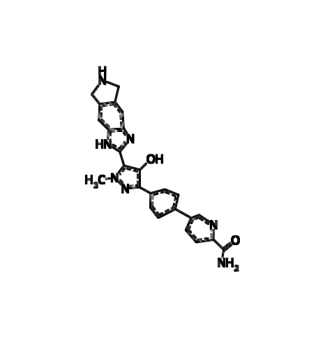 Cn1nc(-c2ccc(-c3ccc(C(N)=O)nc3)cc2)c(O)c1-c1nc2cc3c(cc2[nH]1)CNC3